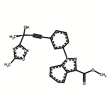 COC(=O)c1nn(-c2cccc(C#C[C@@](C)(O)c3noc(C)n3)c2)c2ccccc12